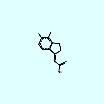 NC(=O)C=C1CCc2c1ccc(F)c2F